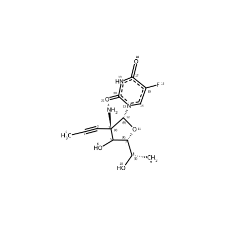 CC#C[C@@]1(N)C(O)[C@@H]([C@H](C)O)O[C@H]1n1cc(F)c(=O)[nH]c1=O